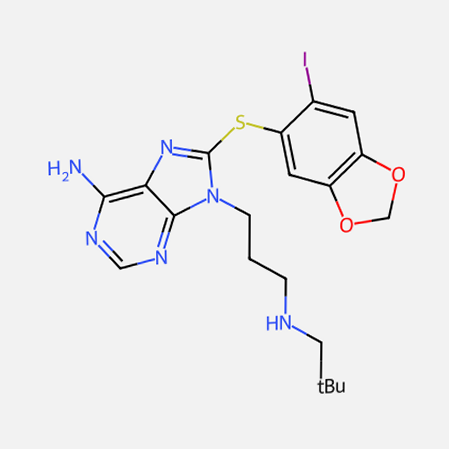 CC(C)(C)CNCCCn1c(Sc2cc3c(cc2I)OCO3)nc2c(N)ncnc21